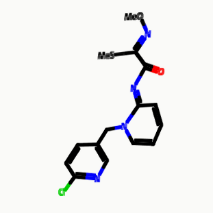 CO/N=C(\SC)C(=O)/N=c1\ccccn1Cc1ccc(Cl)nc1